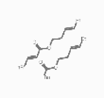 CCC=CCCOC(=O)C(C)CC.CCC=CCCOC(=O)C=CCCC